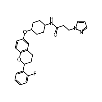 O=C(CCn1cccn1)NC1CCC(Oc2ccc3c(c2)CCC(c2ccccc2F)O3)CC1